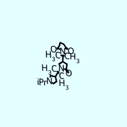 CC(C)N1CCC(C(C)(C)N2CC(C(C)(C)N3C(=O)CCC3=O)CC2=O)C1